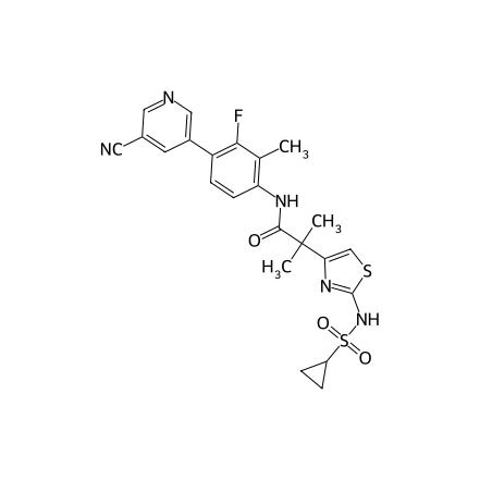 Cc1c(NC(=O)C(C)(C)c2csc(NS(=O)(=O)C3CC3)n2)ccc(-c2cncc(C#N)c2)c1F